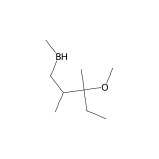 CBCC(C)C(C)(CC)OC